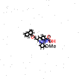 COc1cccc(NCC(=Cc2ccc(C(=O)NO)cc2)CCOc2cccc3ccccc23)c1